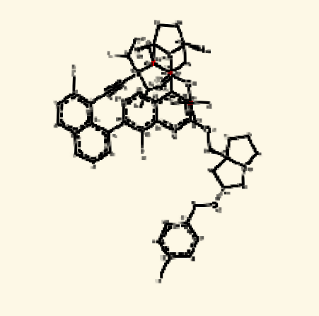 CC(C)[Si](C#Cc1c(F)ccc2cccc(-c3ncc4c(N5C[C@H]6CC[C@@H](C5)N6C(=O)OC(C)(C)C)nc(OC[C@@]56CCCN5C[C@H](OCc5ccc(I)cc5)C6)nc4c3F)c12)(C(C)C)C(C)C